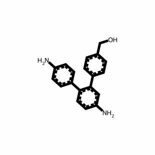 Nc1ccc(-c2ccc(N)cc2-c2ccc(CO)cc2)cc1